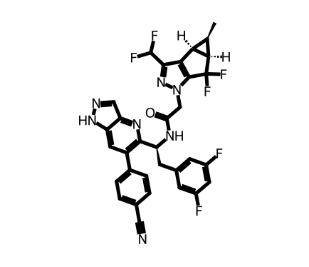 C[C@@H]1[C@@H]2c3c(C(F)F)nn(CC(=O)N[C@@H](Cc4cc(F)cc(F)c4)c4nc5cn[nH]c5cc4-c4ccc(C#N)cc4)c3C(F)(F)[C@H]12